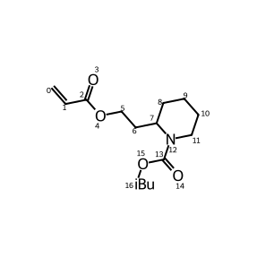 C=CC(=O)OCCC1CCCCN1C(=O)OC(C)CC